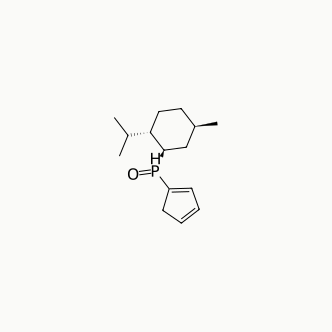 CC(C)[C@@H]1CC[C@@H](C)C[C@H]1[PH](=O)C1=CC=CC1